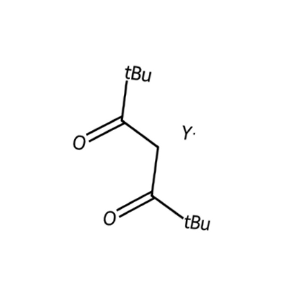 CC(C)(C)C(=O)CC(=O)C(C)(C)C.[Y]